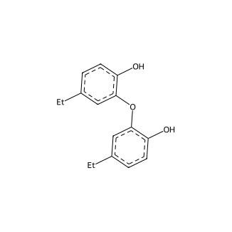 CCc1ccc(O)c(Oc2cc(CC)ccc2O)c1